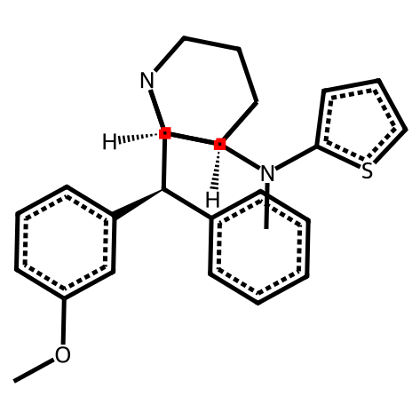 COc1cccc([C@H](c2ccccc2)[C@@H]2[C@H](N(C)c3cccs3)C3CCN2CC3)c1